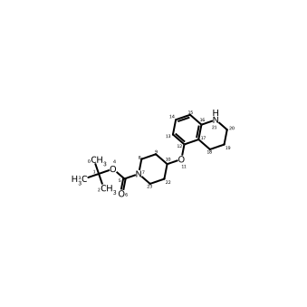 CC(C)(C)OC(=O)N1CCC(Oc2cccc3c2CCCN3)CC1